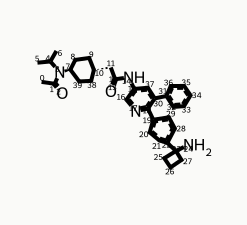 CC(=O)N(C(C)C)[C@H]1CC[C@H](CC(=O)Nc2cnc(-c3ccc(C4(N)CCC4)cc3)c(-c3ccccc3)c2)CC1